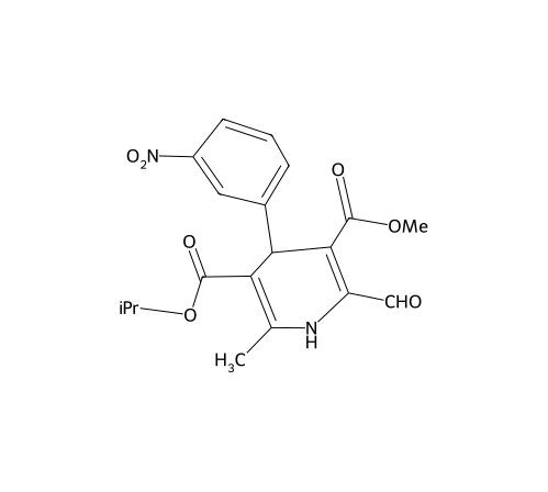 COC(=O)C1=C(C=O)NC(C)=C(C(=O)OC(C)C)C1c1cccc([N+](=O)[O-])c1